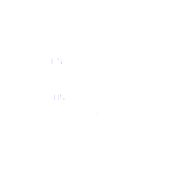 O=C1NCC(Cc2ccccc2)C(=O)N1